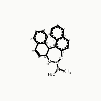 CN(C)P1Oc2ccc3ccccc3c2C2c3ccccc3C=CC2O1